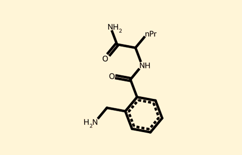 CCCC(NC(=O)c1ccccc1CN)C(N)=O